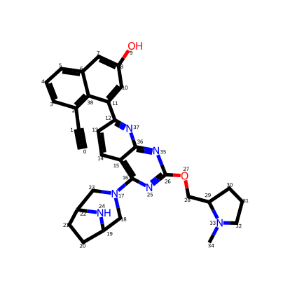 C#Cc1cccc2cc(O)cc(-c3ccc4c(N5CC6CCC(C5)N6)nc(OCC5CCCN5C)nc4n3)c12